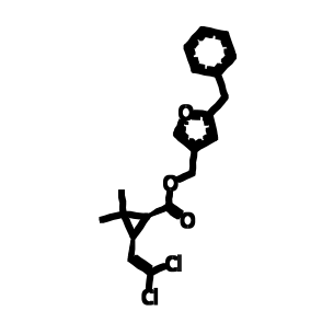 CC1(C)[C@H](C=C(Cl)Cl)[C@@H]1C(=O)OCc1coc(Cc2ccccc2)c1